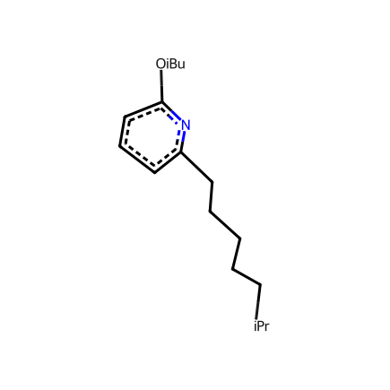 CC(C)CCCCCc1cccc(OCC(C)C)n1